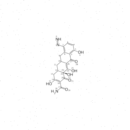 N=Nc1ccc(O)c2c1CC1CC3CC(O)=C(C(N)=O)C(=O)[C@@]3(O)C(O)=C1C2=O